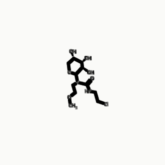 COCCN(C(=O)NCCCl)C1OC[C@H](O)[C@H](O)[C@H]1O